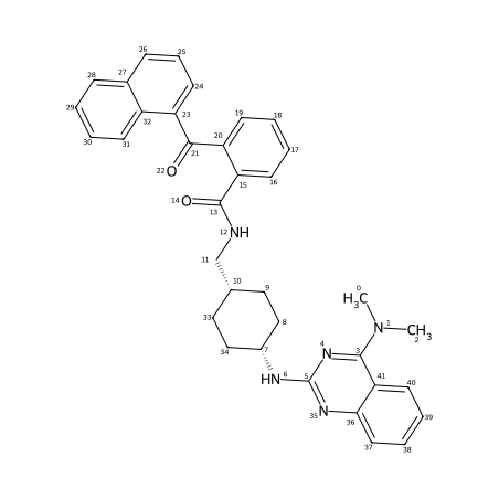 CN(C)c1nc(N[C@H]2CC[C@@H](CNC(=O)c3ccccc3C(=O)c3cccc4ccccc34)CC2)nc2ccccc12